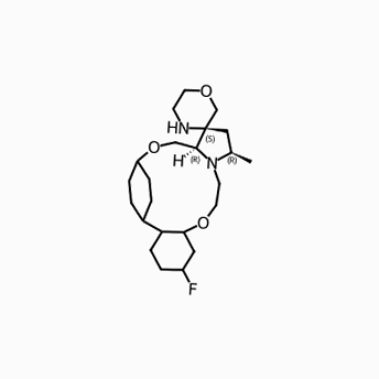 C[C@@H]1C[C@@]2(COCCN2)[C@@H]2COC3CCC(CC3)C3CCC(F)CC3OCCN12